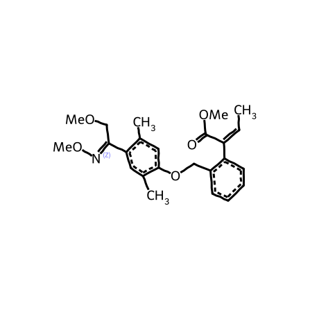 CC=C(C(=O)OC)c1ccccc1COc1cc(C)c(/C(COC)=N/OC)cc1C